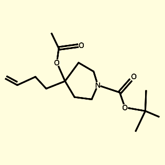 C=CCCC1(OC(C)=O)CCN(C(=O)OC(C)(C)C)CC1